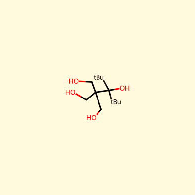 CC(C)(C)C(O)(C(C)(C)C)C(CO)(CO)CO